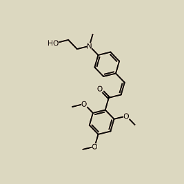 COc1cc(OC)c(C(=O)/C=C\c2ccc(N(C)CCO)cc2)c(OC)c1